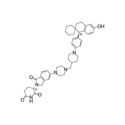 O=C1CC[C@H](N2Cc3cc(N4CCN(CC5CCN(c6ccc([C@@H]7c8ccc(O)cc8CCC78CCCCC8)cc6)CC5)CC4)ccc3C2=O)C(=O)N1